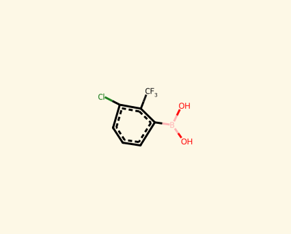 OB(O)c1cccc(Cl)c1C(F)(F)F